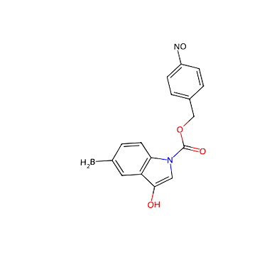 Bc1ccc2c(c1)c(O)cn2C(=O)OCc1ccc(N=O)cc1